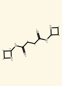 O=C(CCC(=O)OC1CCO1)OC1CCO1